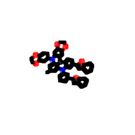 Cc1cc2c3c(c1)N(C1C=C4OCCOC4=CC1)C1=C(C=C4OCCOC4C1)B3c1ccc(-c3cc4ccccc4o3)cc1N2c1cccc(-c2cc3ccccc3o2)c1